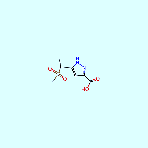 CC(c1cc(C(=O)O)n[nH]1)S(C)(=O)=O